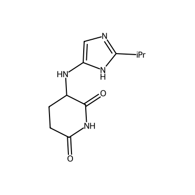 CC(C)c1ncc(NC2CCC(=O)NC2=O)[nH]1